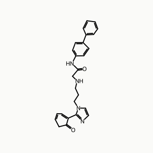 O=C(CNCCCn1ccnc1C1=CC=CCC1=O)Nc1ccc(-c2ccccc2)cc1